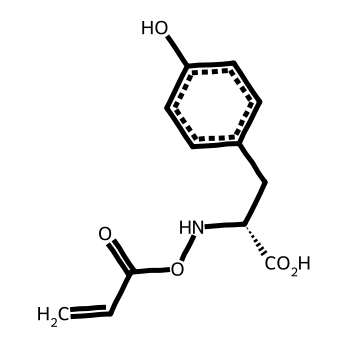 C=CC(=O)ON[C@H](Cc1ccc(O)cc1)C(=O)O